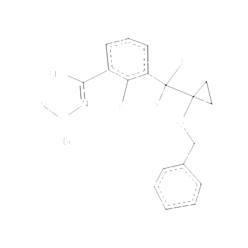 CC(=N[S@@+]([O-])C(C)(C)C)c1cccc(C(F)(F)C2(OCc3ccccc3)CC2)c1F